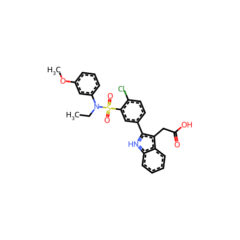 CCN(c1cccc(OC)c1)S(=O)(=O)c1cc(-c2[nH]c3ccccc3c2CC(=O)O)ccc1Cl